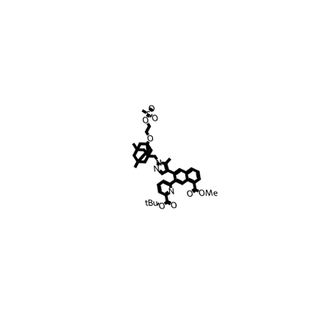 COC(=O)c1cccc2cc(-c3cnn(CC45CC6(C)CC(C)(C4)CC(OCCOS(C)(=O)=O)(C6)C5)c3C)c(-c3cccc(C(=O)OC(C)(C)C)n3)cc12